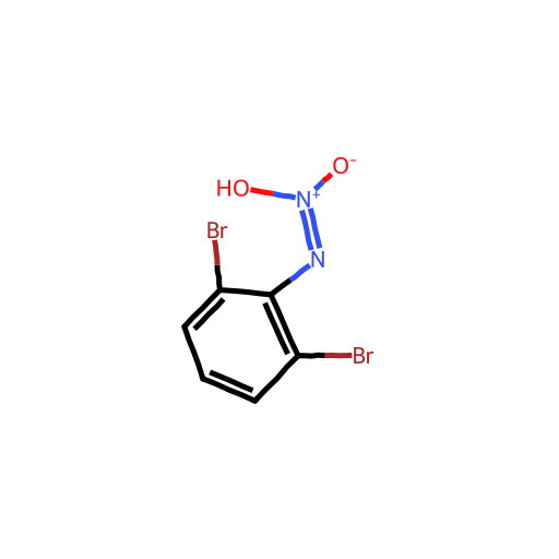 [O-]/[N+](O)=N/c1c(Br)cccc1Br